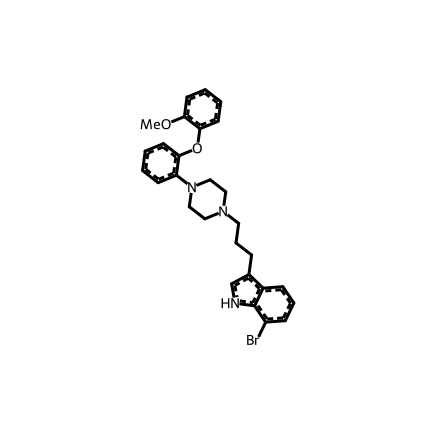 COc1ccccc1Oc1ccccc1N1CCN(CCCc2c[nH]c3c(Br)cccc23)CC1